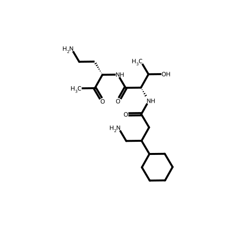 CC(=O)[C@H](CCN)NC(=O)[C@@H](NC(=O)CC(CN)C1CCCCC1)C(C)O